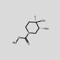 CC(C)(C)OC(=O)N1CC[C@@](C)(O)[C@H](O)C1